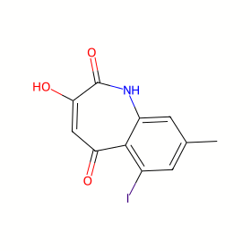 Cc1cc(I)c2c(=O)cc(O)c(=O)[nH]c2c1